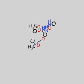 CC(OC(=O)CN1Cc2cc(OCCCC(=O)N(C)C3CCCCC3)ccc2N=C1NC(=O)Nc1ccccc1)c1ccccc1